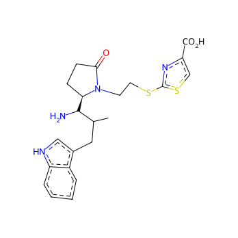 CC(Cc1c[nH]c2ccccc12)C(N)[C@H]1CCC(=O)N1CCSc1nc(C(=O)O)cs1